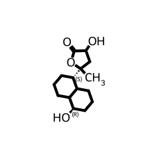 CC1([C@H]2CCCC3C2CCC[C@H]3O)CC(O)C(=O)O1